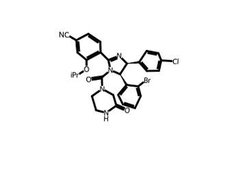 CC(C)Oc1cc(C#N)ccc1C1=N[C@@H](c2ccc(Cl)cc2)[C@@H](c2ccccc2Br)N1C(=O)N1CCNC(=O)C1